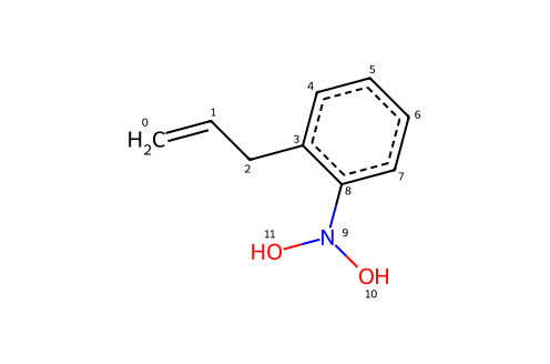 C=CCc1ccccc1N(O)O